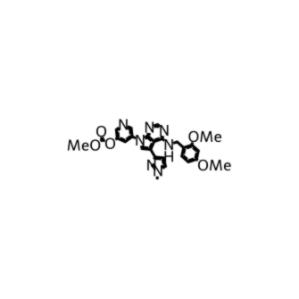 COC(=O)Oc1cncc(-n2cc(-c3ccn(C)n3)c3c(NCc4ccc(OC)cc4OC)ncnc32)c1